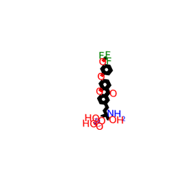 NC(CO)(CCc1ccc2oc3cc(Oc4cccc(OC(F)(F)F)c4)ccc3c(=O)c2c1)COP(=O)(O)O